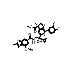 COc1cc(C(=O)NC[C@](O)(c2cc3c(c(-c4ccc(F)c(Cl)c4)n2)OC[C@]3(C)C(N)=O)C2CC2)cc2sc(C)nc12